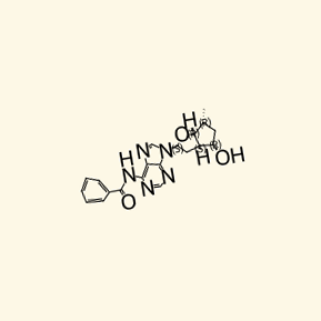 C[C@@H]1C[C@@H](O)[C@@H]2C[C@@H](n3cnc4c(NC(=O)c5ccccc5)ncnc43)O[C@@H]21